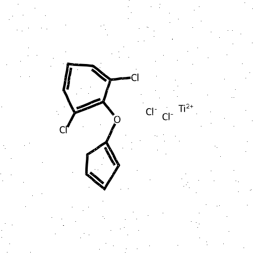 Clc1cccc(Cl)c1OC1=CC=CC1.[Cl-].[Cl-].[Ti+2]